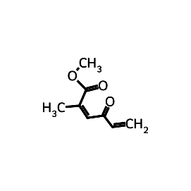 C=CC(=O)C=C(C)C(=O)OC